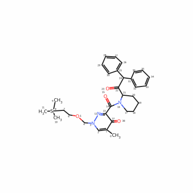 Cc1cn(COCC[Si](C)(C)C)nc(C(=O)N2CCCCC2C(=O)C(c2ccccc2)c2ccccc2)c1=O